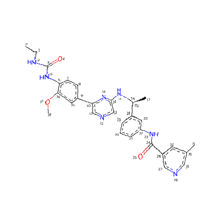 CCNC(=O)Nc1ccc(-c2cncc(N[C@@H](C)c3cccc(NC(=O)c4cncc(C)c4)c3)n2)cc1OC